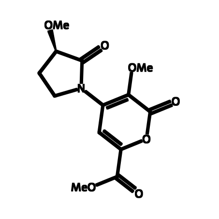 COC(=O)c1cc(N2CC[C@@H](OC)C2=O)c(OC)c(=O)o1